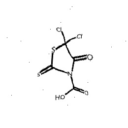 O=C(O)N1C(=O)C(Cl)(Cl)SC1=S